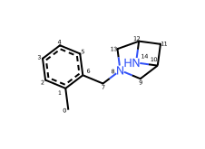 Cc1ccccc1CN1CC2CC(C1)N2